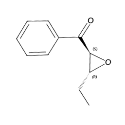 CC[C@H]1O[C@@H]1C(=O)c1ccccc1